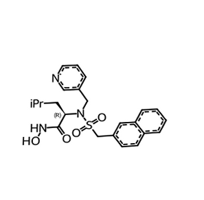 CC(C)C[C@H](C(=O)NO)N(Cc1cccnc1)S(=O)(=O)Cc1ccc2ccccc2c1